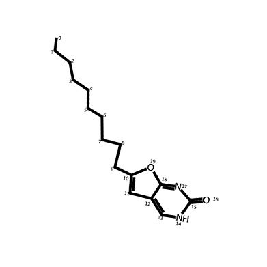 CCCCCCCCCCc1cc2c[nH]c(=O)nc2o1